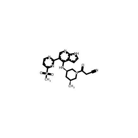 C[C@H]1C[C@@H](Nc2c(-c3nccc(S(C)(=O)=O)n3)cnc3[nH]ccc23)CN(C(=O)CC#N)C1